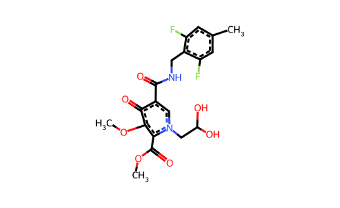 COC(=O)c1c(OC)c(=O)c(C(=O)NCc2c(F)cc(C)cc2F)cn1CC(O)O